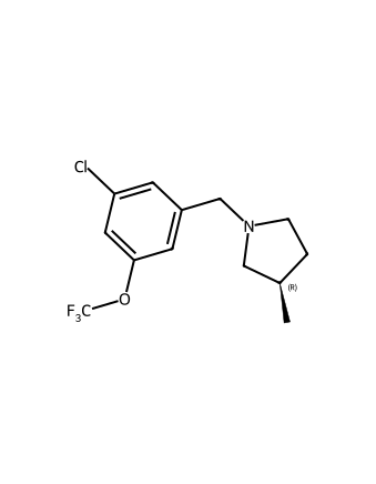 C[C@@H]1CCN(Cc2cc(Cl)cc(OC(F)(F)F)c2)C1